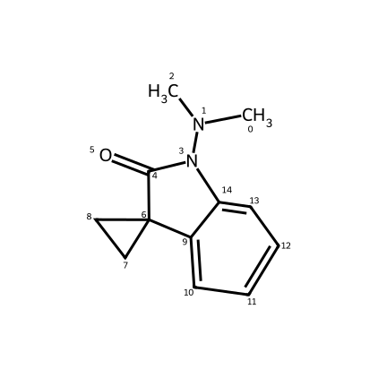 CN(C)N1C(=O)C2(CC2)c2ccccc21